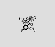 Cc1cc(F)cc2c1C(=O)C(NC=O)C(C)(C)N2